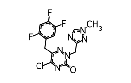 Cn1cnc(Cn2nc(Cc3cc(F)c(F)cc3F)c(Cl)nc2=O)n1